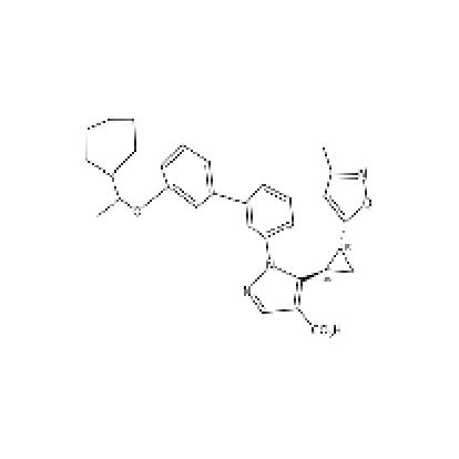 Cc1cc([C@@H]2C[C@H]2c2c(C(=O)O)cnn2-c2cccc(-c3cccc(OC(C)C4CCCCC4)c3)c2)on1